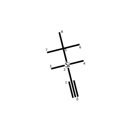 [C]#C[Si](C)(C)C(C)(C)C